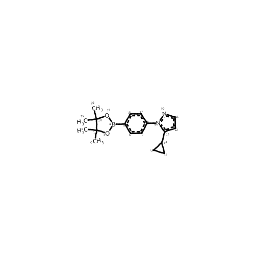 CC1(C)OB(c2ccc(-n3nccc3C3CC3)cc2)OC1(C)C